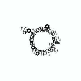 CCC(C)[C@@H]1NC(=O)[C@H](C)N(C)C(=O)C[C@@H](C)NC(=O)[C@H](C2CCCC2)N(C)C(=O)C2(CCCC2)NC(=O)[C@@H]2CCCN2C(=O)[C@H](CCc2ccc(C(F)(F)F)c(Cl)c2)NC(=O)[C@@H](C)N(C)C(=O)[C@H](Cc2ccccc2)N(C)C(=O)CN(C)C(=O)CN(C)C1=O